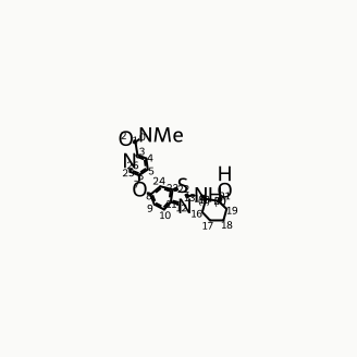 CNC(=O)c1ccc(Oc2ccc3nc(N[C@@H]4CCCC[C@H]4O)sc3c2)cn1